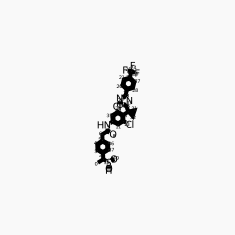 CC(c1ccc(CC(=O)Nc2cc(Cl)c(C3(c4nc(-c5ccc(C(F)(F)F)cc5)no4)CC3)c(Cl)c2)cc1)[SH](=O)=O